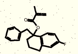 C=C(C)C(=O)OC1(Cc2ccccc2)CCCc2cc(F)ccc21